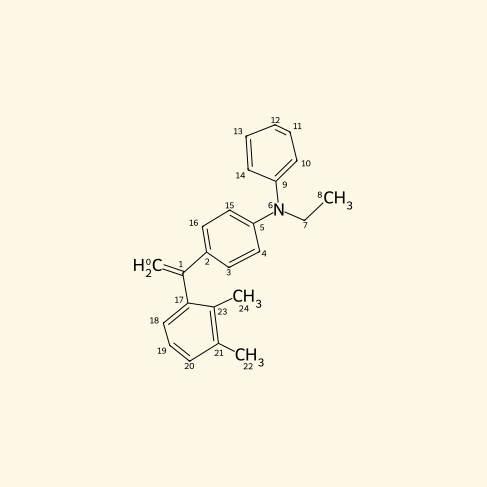 C=C(c1ccc(N(CC)c2ccccc2)cc1)c1cccc(C)c1C